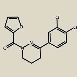 O=C(c1ccco1)N1CCCC(c2ccc(Cl)c(Cl)c2)=N1